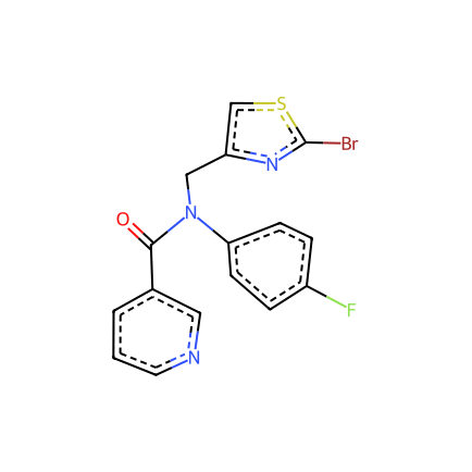 O=C(c1cccnc1)N(Cc1csc(Br)n1)c1ccc(F)cc1